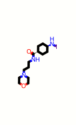 O=C(NCCCN1CCOCC1)[C@H]1CC[C@H](NI)CC1